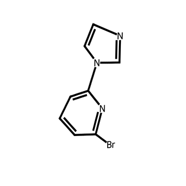 Brc1cccc(-n2ccnc2)n1